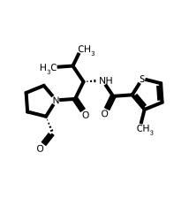 Cc1ccsc1C(=O)N[C@H](C(=O)N1CCC[C@H]1C=O)C(C)C